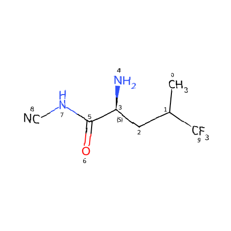 CC(C[C@H](N)C(=O)NC#N)C(F)(F)F